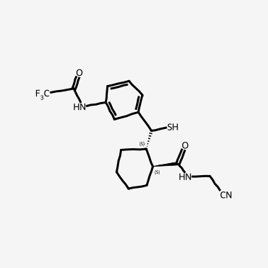 N#CCNC(=O)[C@H]1CCCC[C@@H]1C(S)c1cccc(NC(=O)C(F)(F)F)c1